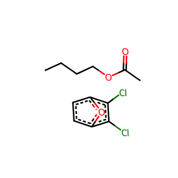 CCCCOC(C)=O.Clc1c(Cl)c2ccc1o2